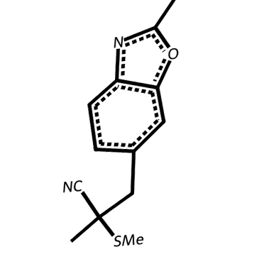 CSC(C)(C#N)Cc1ccc2nc(C)oc2c1